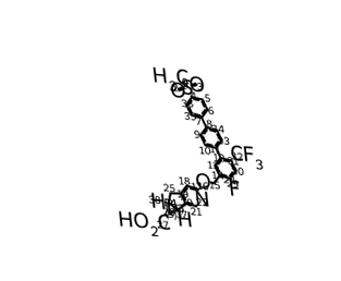 CS(=O)(=O)c1ccc(-c2ccc(-c3cc(COc4cc5c(cn4)[C@H]4[C@@H](C5)[C@@H]4C(=O)O)c(F)cc3C(F)(F)F)cc2)cc1